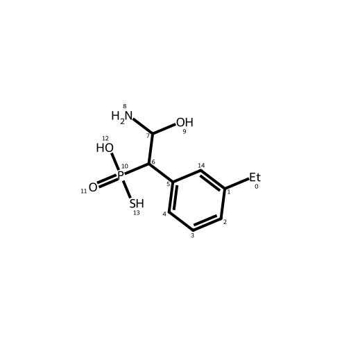 CCc1cccc(C(C(N)O)P(=O)(O)S)c1